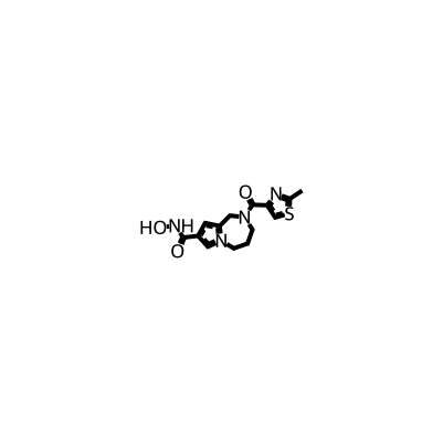 Cc1nc(C(=O)N2CCCn3cc(C(=O)NO)cc3C2)cs1